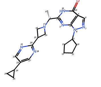 C[C@H](c1nc2c(cnn2C2CCCC2)c(=O)[nH]1)N1CC(c2ncc(C3CC3)cn2)C1